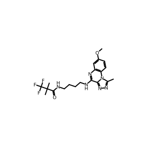 COc1ccc2c(c1)nc(NCCCCNC(=O)C(C)(C)C(F)(F)F)c1nnc(C)n12